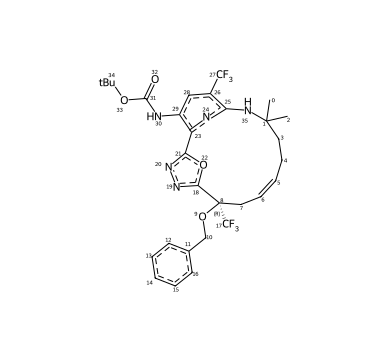 CC1(C)CCC=CC[C@](OCc2ccccc2)(C(F)(F)F)c2nnc(o2)-c2nc(c(C(F)(F)F)cc2NC(=O)OC(C)(C)C)N1